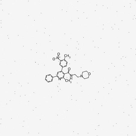 Cc1ccc(-c2cc(-c3ccccc3)nc(C)c2C(=O)NCCN2CCOCC2)cc1[N+](=O)[O-]